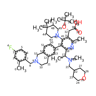 Cc1cc(F)ccc1CN1CCc2cc(-c3c(C(C)N(C)CC4CCOCC4)nc(C)c([C@H](OC(C)(C)C)C(=O)O)c3N3CCC(C)(C)CC3)ccc2C1